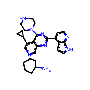 NC1CCCCC1.c1cc(-c2nc(N3CCNCC3)c3c(C4CC4)cncc3n2)c2cc[nH]c2n1